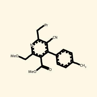 COCc1nc(CC(C)C)c(C#N)c(-c2ccc(C)cc2)c1C(=O)OC